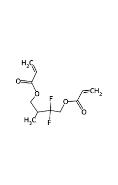 C=CC(=O)OCC(C)C(F)(F)COC(=O)C=C